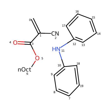 C=C(C#N)C(=O)OCCCCCCCC.c1ccc(Nc2ccccc2)cc1